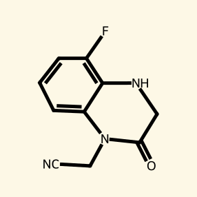 N#CCN1C(=O)CNc2c(F)cccc21